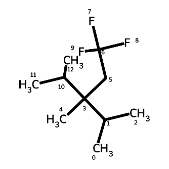 CC(C)C(C)(CC(F)(F)F)C(C)C